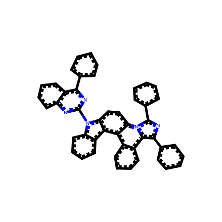 c1ccc(-c2nc(-n3c4ccccc4c4c5c6ccccc6c6c(-c7ccccc7)nc(-c7ccccc7)n6c5ccc43)nc3ccccc23)cc1